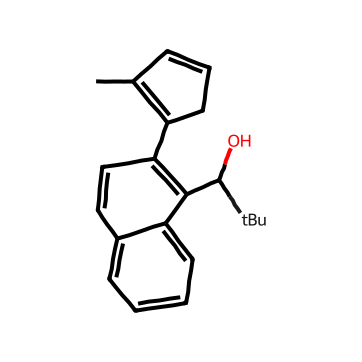 CC1=C(c2ccc3ccccc3c2C(O)C(C)(C)C)CC=C1